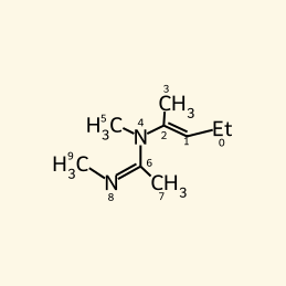 CC/C=C(\C)N(C)/C(C)=N\C